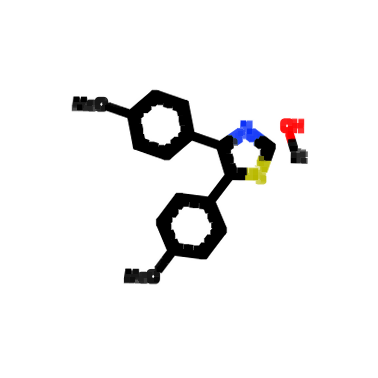 CCO.COc1ccc(-c2ncsc2-c2ccc(OC)cc2)cc1